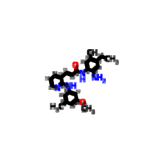 CCc1cc(N)c(NC(=O)/C=C/c2cccnc2Nc2cc(C)cc(OC)c2)cc1C